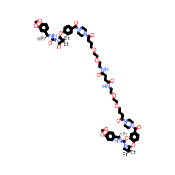 CCC[C@@H](NC(=O)N1CC(CC)(CC)[C@@H]1Oc1ccc(C(=O)N2CCN(C(=O)CCCOCCOCCNC(=O)CCC(=O)NCCOCCOCCCC(=O)N3CCN(C(=O)c4ccc(O[C@@H]5N(C(=O)N[C@H](CCC)c6ccc7c(c6)OCO7)C(=O)C5(CC)CC)cc4)CC3)CC2)cc1)c1ccc2c(c1)OCO2